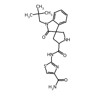 CC(C)(C)CN1C(=O)C2(CNC(C(=O)Nc3nc(C(N)=O)cs3)C2)c2ccccc21